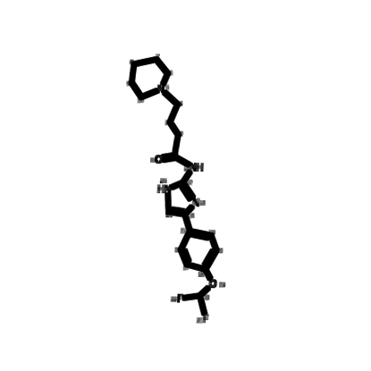 O=C(CCCN1CCCCC1)Nc1nc(-c2ccc(OC(F)F)cc2)c[nH]1